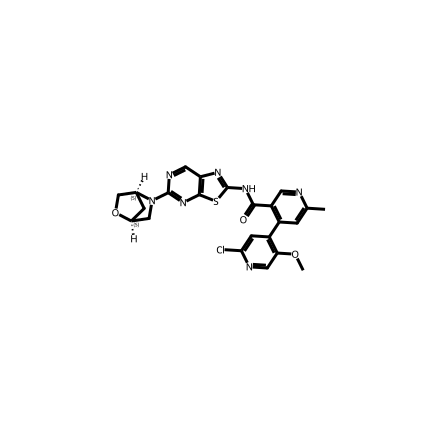 COc1cnc(Cl)cc1-c1cc(C)ncc1C(=O)Nc1nc2cnc(N3C[C@@H]4C[C@H]3CO4)nc2s1